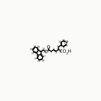 O=C(C/C=C/C(Cc1ccncc1)C(=O)O)OCC1c2ccccc2-c2ccccc21